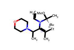 C=CN(/C(=C(/C)CC)C(C)N1CCOCC1)C(C)(OC)[C@@H](C)CC